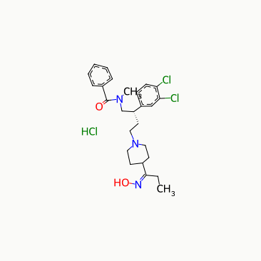 CC/C(=N/O)C1CCN(CC[C@H](CN(C)C(=O)c2ccccc2)c2ccc(Cl)c(Cl)c2)CC1.Cl